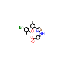 COC(=O)[C@@H]1CC[C@H](Nc2nc(-c3cc(C)ccc3OCc3ccc(Br)cc3C)cs2)C1